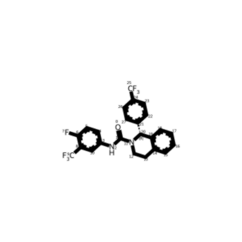 O=C(Nc1ccc(F)c(C(F)(F)F)c1)N1CCc2ccccc2[C@H]1c1ccc(C(F)(F)F)cc1